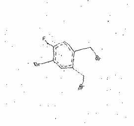 Fc1cc(CBr)c(CBr)cc1Br